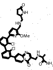 COc1nc(-c2cccc(-c3cccc(-c4ccn5c(=O)c(CNC(C)C(N)=O)cnc5c4)c3Cl)c2Cl)ccc1CNCC1CCC(=O)N1